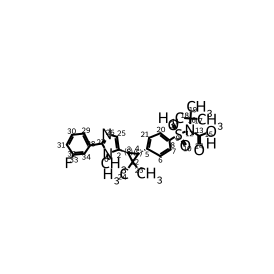 Cn1c([C@H]2[C@H](c3ccc(S(=O)(=O)N(C(=O)O)C(C)(C)C)cc3)C2(C)C)cnc1-c1cccc(F)c1